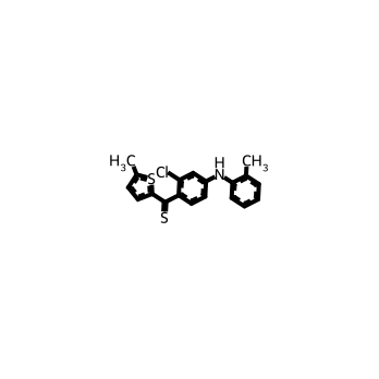 Cc1ccc(C(=S)c2ccc(Nc3ccccc3C)cc2Cl)s1